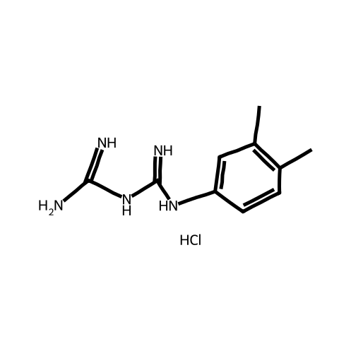 Cc1ccc(NC(=N)NC(=N)N)cc1C.Cl